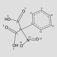 O=C(O)C(C(=O)O)(c1ccccc1)[N+](=O)[O-]